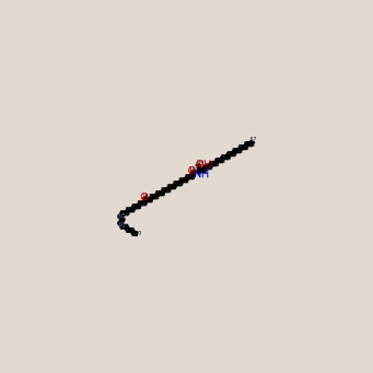 CCCCC/C=C\C/C=C\CCCCCCCC(=O)CCCCCCCCCCCCCCCC(=O)N[C@@H](CO)CCCCCCCCCCCCCCCCCC